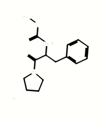 CC(C)(C)OC(=O)NC(Cc1ccccc1)C(=O)N1CC[C@H](O)C1